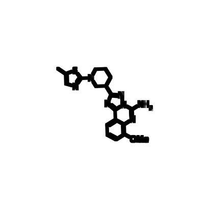 COc1cccc2c1nc(N)n1nc(C3CCCN(c4ncc(C)s4)C3)nc21